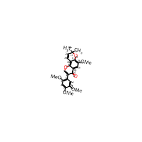 COc1cc(OC)c(-c2coc3c4c(c(OC)cc3c2=O)OC(C)(C)C=C4)cc1OC